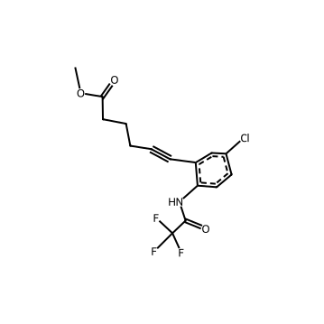 COC(=O)CCCC#Cc1cc(Cl)ccc1NC(=O)C(F)(F)F